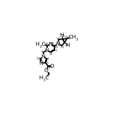 CCOC(=O)c1cn(CN2C=CC(N3C[C@@H]4C(C)[C@@H]4C3)=NC2C)cn1